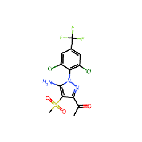 CC(=O)c1nn(-c2c(Cl)cc(C(F)(F)F)cc2Cl)c(N)c1S(C)(=O)=O